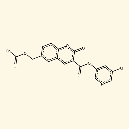 CC(C)C(=O)OCc1ccc2oc(=O)c(C(=O)Oc3cncc(Cl)c3)cc2c1